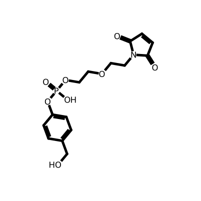 O=C1C=CC(=O)N1CCOCCOP(=O)(O)Oc1ccc(CO)cc1